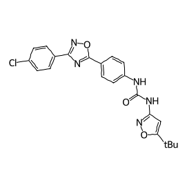 CC(C)(C)c1cc(NC(=O)Nc2ccc(-c3nc(-c4ccc(Cl)cc4)no3)cc2)no1